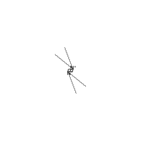 CCCCCCCCCCCCCCCCCC[N+](C)(CCCCCCCCCCCCCCCCCC)c1cccc2c([N+](C)(CCCCCCCCCCCCCCCCCC)CCCCCCCCCCCCCCCCCC)cccc12